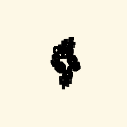 O=C(O)CN1CCC2(CCN(c3cc(C(F)(F)F)ccc3CN3CCCC34CCN(C(=O)OC(C(F)(F)F)C(F)(F)F)CC4)CC2)C1